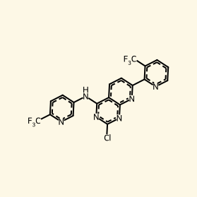 FC(F)(F)c1ccc(Nc2nc(Cl)nc3nc(-c4ncccc4C(F)(F)F)ccc23)cn1